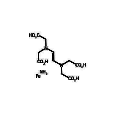 N.O=C(O)CN(C=CN(CC(=O)O)CC(=O)O)CC(=O)O.[Fe]